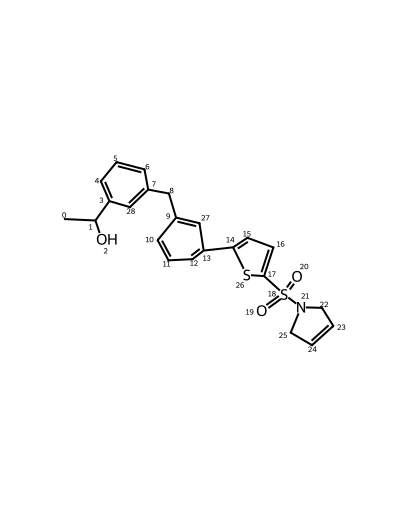 CC(O)c1cccc(Cc2cccc(-c3ccc(S(=O)(=O)N4CC=CC4)s3)c2)c1